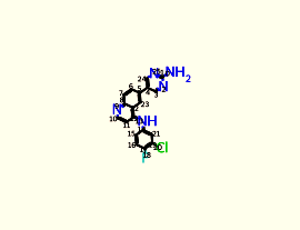 Nc1ncc(-c2ccc3nccc(Nc4ccc(F)c(Cl)c4)c3c2)cn1